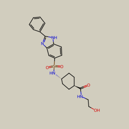 O=C(NCCO)[C@H]1CC[C@H](NS(=O)(=O)c2ccc3[nH]c(-c4ccccc4)nc3c2)CC1